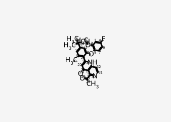 COc1cc(F)ccc1Oc1cc(C(C)(C)C)cc(C)c1-c1cc(=O)c2c(C(C)=O)nccc2[nH]1